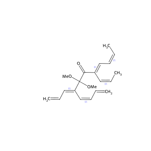 C=C/C=C\C(=C/C=C)C(OC)(OC)C(=O)C(/C=C\C)=C/C=C\C